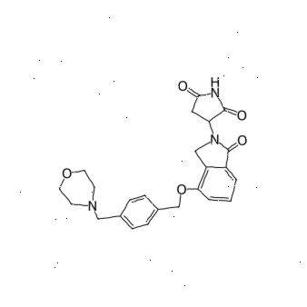 O=C1CC(N2Cc3c(OCc4ccc(CN5CCOCC5)cc4)cccc3C2=O)C(=O)N1